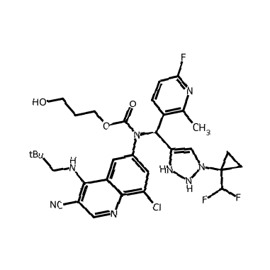 Cc1nc(F)ccc1[C@@H](C1=CN(C2(C(F)F)CC2)NN1)N(C(=O)OCCCO)c1cc(Cl)c2ncc(C#N)c(NCC(C)(C)C)c2c1